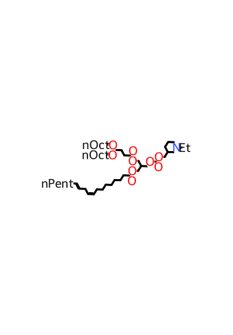 CCCCCC=CC/C=C\CCCCCCCC(=O)OCC(COC(=O)CCC(OCCCCCCCC)OCCCCCCCC)COC(=O)OCC1CCCN(CC)C1